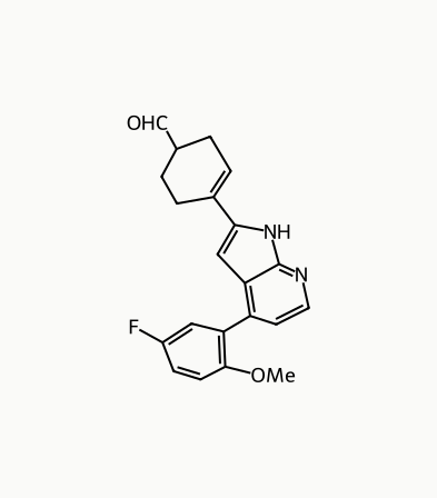 COc1ccc(F)cc1-c1ccnc2[nH]c(C3=CCC(C=O)CC3)cc12